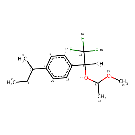 CCC(C)c1ccc(C(C)(OC(C)OC)C(F)(F)F)cc1